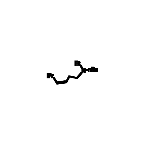 CCCCN(CC)CC/C=C\C(C)C